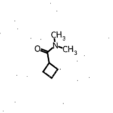 CN(C)C(=O)C1[CH]CC1